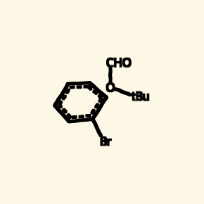 Brc1ccccc1.CC(C)(C)OC=O